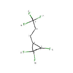 F[C]1C(CCC(F)(F)F)C1(F)F